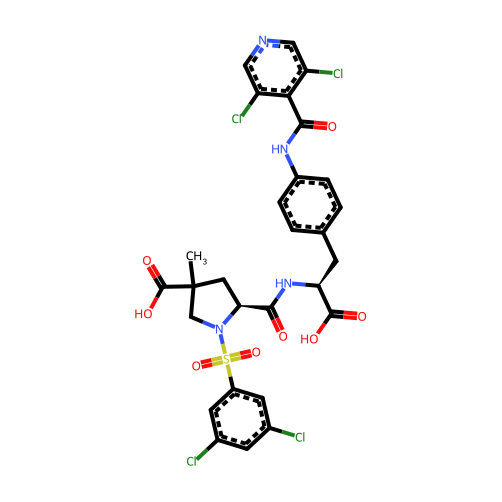 CC1(C(=O)O)C[C@@H](C(=O)N[C@@H](Cc2ccc(NC(=O)c3c(Cl)cncc3Cl)cc2)C(=O)O)N(S(=O)(=O)c2cc(Cl)cc(Cl)c2)C1